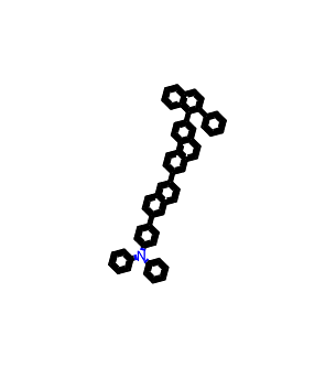 c1ccc(-c2ccc3ccccc3c2-c2ccc3c(ccc4cc(-c5ccc6cc(-c7ccc(N(c8ccccc8)c8ccccc8)cc7)ccc6c5)ccc43)c2)cc1